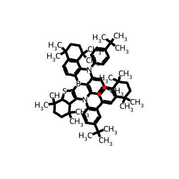 Cc1cc2c3c(c1)N(c1ccc(C(C)(C)C)cc1)c1c(ccc4c1C(C)(C)CCC4(C)C)B3C1=C(C3C(S1)C(C)(C)CCC3(C)C)N2c1ccc(C(C)(C)C)cc1-c1ccc2c(c1)C(C)(C)CCC2(C)C